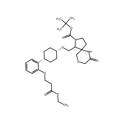 CCOC(=O)CCOc1ccccc1[C@H]1CC[C@@H](OCC2N(C(=O)OC(C)(C)C)CCC23COCC(=O)N3)CC1